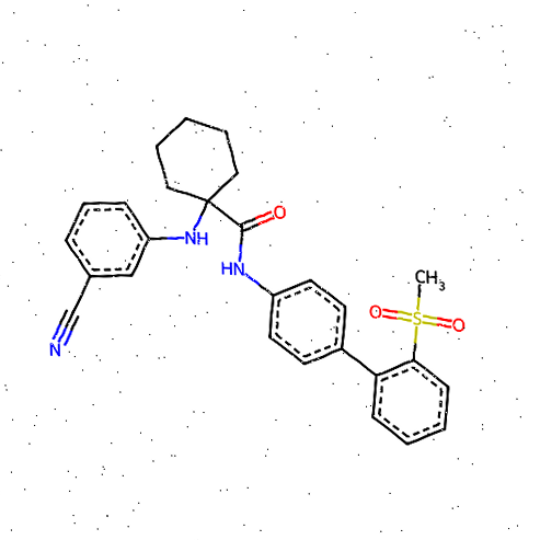 CS(=O)(=O)c1ccccc1-c1ccc(NC(=O)C2(Nc3cccc(C#N)c3)CCCCC2)cc1